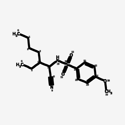 CCCCC(CC)C(C#N)NS(=O)(=O)c1ccc(OC)cc1